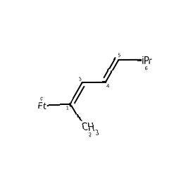 CCC(C)=CC=CC(C)C